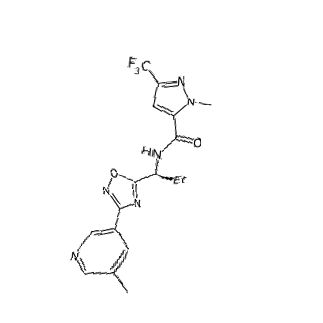 CC[C@H](NC(=O)c1cc(C(F)(F)F)nn1C)c1nc(-c2cncc(C)c2)no1